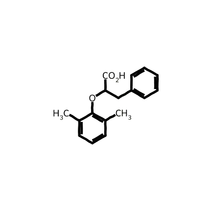 Cc1cccc(C)c1OC(Cc1ccccc1)C(=O)O